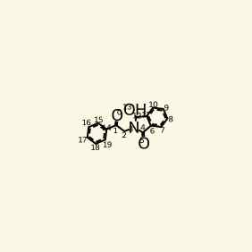 O=C(CN1C(=O)c2ccccc2C1O)c1ccccc1